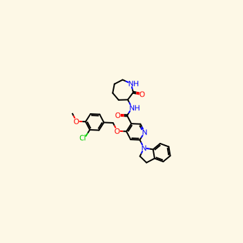 COc1ccc(COc2cc(N3CCc4ccccc43)ncc2C(=O)NC2CCCCNC2=O)cc1Cl